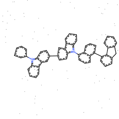 c1ccc(-n2c3ccccc3c3cc(-c4ccc5c(c4)c4ccccc4n5-c4cccc5c(-c6cccc7c6-c6ccccc6C7)cccc45)ccc32)cc1